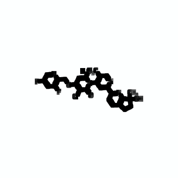 Cc1cnc(-c2ccc3c(n2)C(C)(O)CC3)cc1-n1c(C)cc(OCc2ncc(F)cc2F)c(Cl)c1=O